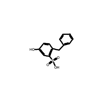 O=S(=O)(O)c1cc(O)ccc1Cc1ccccc1